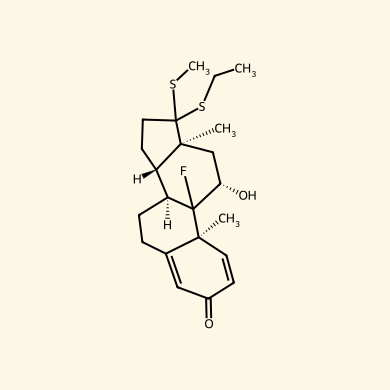 CCSC1(SC)CC[C@H]2[C@@H]3CCC4=CC(=O)C=C[C@]4(C)C3(F)[C@@H](O)C[C@@]21C